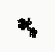 COCCN(C)Cc1c(-c2ccc(NC(=O)NOC)cc2)sc2c1c(=O)n(CC(=O)C(C)(C)C)c(=O)n2Cc1c(F)cccc1F